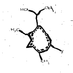 Cc1cc(C)c(C(C)O)cc1F